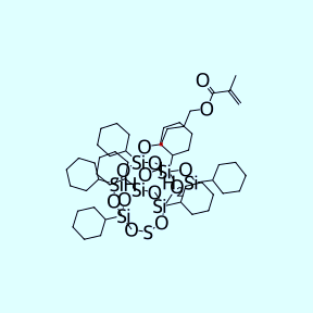 C=C(C)C(=O)OCCCCO[Si]1(C2CCCCC2)O[SiH](C2CCCCC2)O[Si]2(C3CCCCC3)OSO[Si](C3CCCCC3)(O[Si](OI)(C3CCCCC3)O2)O[Si](O[SiH2]C2CCCCC2)(C2CCCCC2)O1